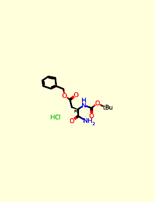 CC(C)(C)OC(=O)N[C@H](CC(=O)OCc1ccccc1)C(N)=O.Cl